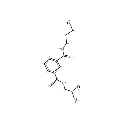 CCCCC(CC)COC(=O)c1cccc(C(=O)OCCCC(C)C)c1